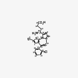 CCc1cc2c(s1)-n1c(nnc1[C@H](N)CCC(=O)O)CN=C2c1ccccc1Cl